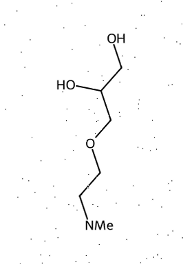 CNCCOCC(O)CO